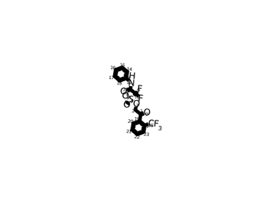 O=C(COS(=O)(=O)C(F)(F)C(=O)Nc1ccccc1)c1ccccc1C(F)(F)F